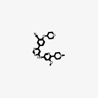 COc1cc(Nc2cc(-c3ccc(OC4CCOCC4)c(C#N)c3)ncn2)cnc1C1CCN(C)CC1